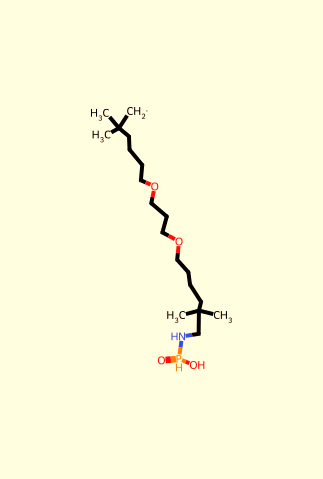 [CH2]C(C)(C)CCCCOCCCOCCCCC(C)(C)CN[PH](=O)O